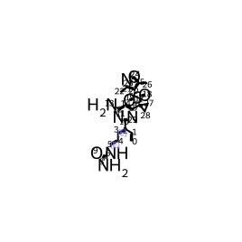 C=C/C(=C\C=C\NC(N)=O)c1nc(N)cc(C2(S(=O)(=O)c3c(C)noc3C)CC2)n1